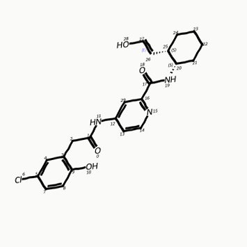 O=C(Cc1cc(Cl)ccc1O)Nc1ccnc(C(=O)N[C@H]2CCCC[C@H]2/C=C/O)c1